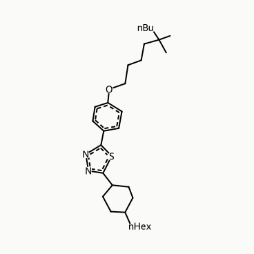 CCCCCCC1CCC(c2nnc(-c3ccc(OCCCCC(C)(C)CCCC)cc3)s2)CC1